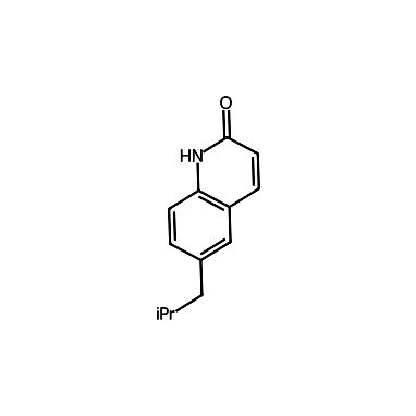 CC(C)Cc1ccc2[nH]c(=O)ccc2c1